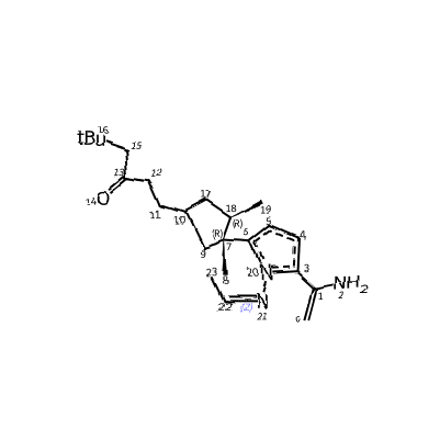 C=C(N)c1ccc([C@]2(C)CC(CCC(=O)CC(C)(C)C)C[C@H]2C)n1/N=C\C